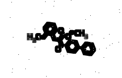 CCOC(=O)C(Cc1ccccc1CC)C(=O)[C@H]1CC[C@H](C2C=CC=CC2)CC1